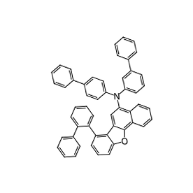 c1ccc(-c2ccc(N(c3cccc(-c4ccccc4)c3)c3cc4c(oc5cccc(-c6ccccc6-c6ccccc6)c54)c4ccccc34)cc2)cc1